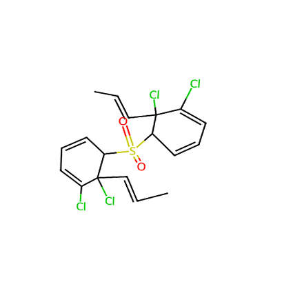 CC=CC1(Cl)C(Cl)=CC=CC1S(=O)(=O)C1C=CC=C(Cl)C1(Cl)C=CC